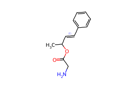 CC(/C=C/c1ccccc1)OC(=O)CN